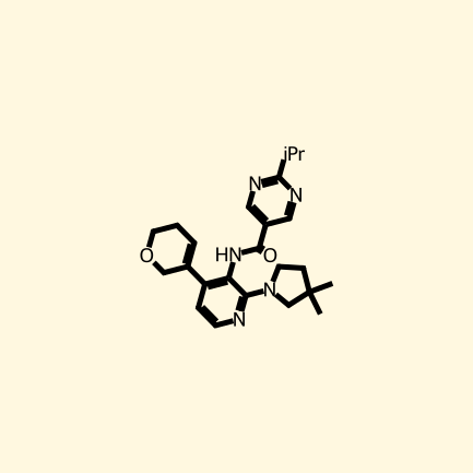 CC(C)c1ncc(C(=O)Nc2c(C3=CCCOC3)ccnc2N2CCC(C)(C)C2)cn1